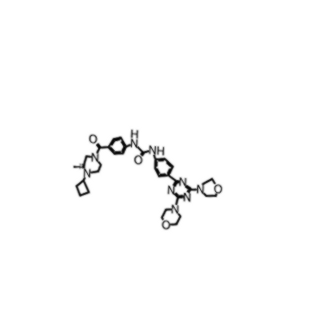 C[C@H]1CN(C(=O)c2ccc(NC(=O)Nc3ccc(-c4nc(N5CCOCC5)nc(N5CCOCC5)n4)cc3)cc2)CCN1C1CCC1